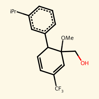 COC1(CO)C=C(C(F)(F)F)C=CC1c1cccc(C(C)C)c1